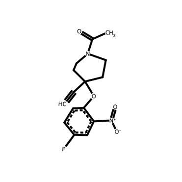 C#CC1(Oc2ccc(F)cc2[N+](=O)[O-])CCN(C(C)=O)CC1